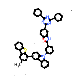 Cc1cc(-c2ccc3c(c2)c2ccccc2n3-c2cccc(-c3nc4cc(-c5nc(-c6ccccc6)nc(-c6ccccc6)n5)ccc4o3)c2)c2sc3ccccc3c2c1